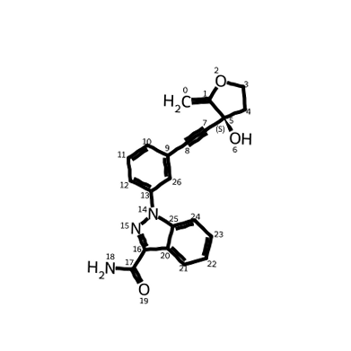 C=C1OCC[C@]1(O)C#Cc1cccc(-n2nc(C(N)=O)c3ccccc32)c1